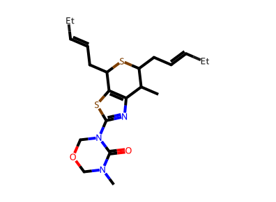 CCC=CCC1SC(CC=CCC)C(C)c2nc(N3COCN(C)C3=O)sc21